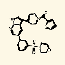 O=C(c1cccs1)N1CC=C(c2c[nH]c3ncc(-c4cccc(S(=O)(=O)N5CCOCC5)c4)cc23)CC1